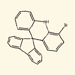 Brc1cccc2c1Nc1ccccc1C21c2ccccc2-c2ccccc21